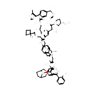 Cc1ncsc1-c1ccc([C@H](C)NC(=O)[C@@H]2C[C@@H](O)CN2C(=O)[C@@H](c2cc(OCCN3CCN(CCOc4cc(N5C6CCC5CN(c5cc(-c7ccccc7O)nnc5NC(=O)OCc5ccc(NC(=O)[C@H](CCCNC(N)=O)NC(=O)C7(C(=O)O)CCC7)cc5)C6)ccn4)[C@H](C)C3)no2)C(C)C)cc1